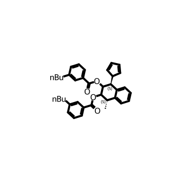 CCCCc1cccc(C(=O)OC2C(OC(=O)c3cccc(CCCC)c3)[C@@H](C)c3ccccc3[C@@H]2C2C=CC=C2)c1